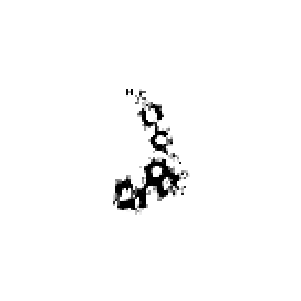 CN1CCN(c2ccc(Nc3ccc(-c4cnc5cnccn45)c4c3C(=O)NC4)nc2)CC1